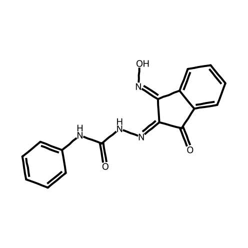 O=C(N/N=c1/c(=O)c2ccccc2/c1=N\O)Nc1ccccc1